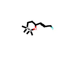 C[Si]1(C)CCC(C=CCF)O[Si]1(C)C